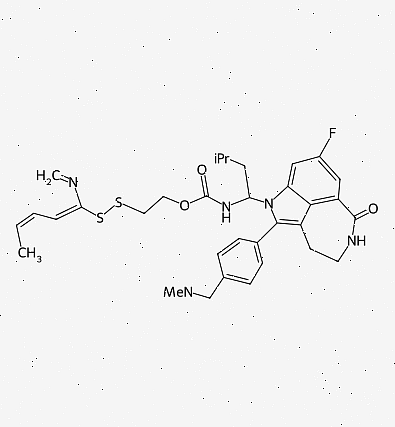 C=N/C(=C\C=C/C)SSCCOC(=O)NC(CC(C)C)n1c(-c2ccc(CNC)cc2)c2c3c(cc(F)cc31)C(=O)NCC2